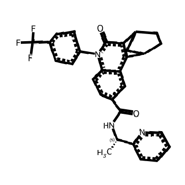 C[C@H](NC(=O)c1ccc2c(c1)c1c(c(=O)n2-c2ccc(C(F)(F)F)cc2)C2CCC1C2)c1ccccn1